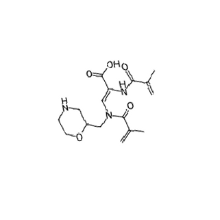 C=C(C)C(=O)NC(=CN(CC1CNCCO1)C(=O)C(=C)C)C(=O)O